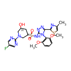 COc1cccc(OC)c1-n1c(NS(=O)(=O)[C@H]2C[C@H](O)CN(c3ncc(F)cn3)C2)nnc1-c1nc(C)cs1